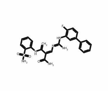 C=C(Nc1ccccc1S(N)(=O)=O)/C(=C\N=C(/N)Nc1cc(-c2ccccc2)ccc1F)C(N)=O